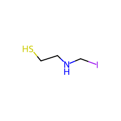 SCCNCI